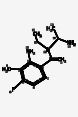 C=C(c1ccc(F)c(C)c1N)N(CC)C(C)N